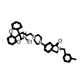 CCNC(=O)C1(CCCN2CCN(c3ccc4c(c3)C(=O)N(Cc3cccc(C)c3)C4)CC2)c2ccccc2Oc2ccccc21